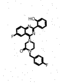 O=C1CN(c2nc(-c3ccccc3O)nc3ccc(F)cc23)CCN1Cc1ccc(F)cc1